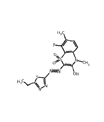 CCc1nnc(N=NC2=C(O)N(C)c3ccc(C)c(F)c3S2(=O)=O)s1